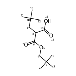 CC(C)(C)COC(=O)C(CC(C)(C)C)C(=O)O